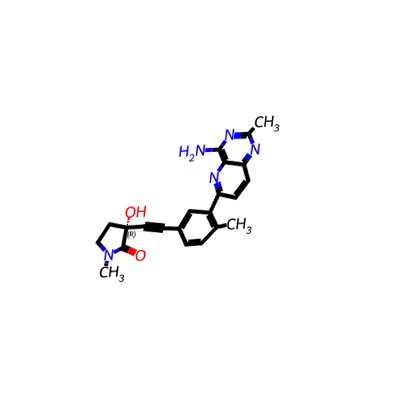 Cc1nc(N)c2nc(-c3cc(C#C[C@]4(O)CCN(C)C4=O)ccc3C)ccc2n1